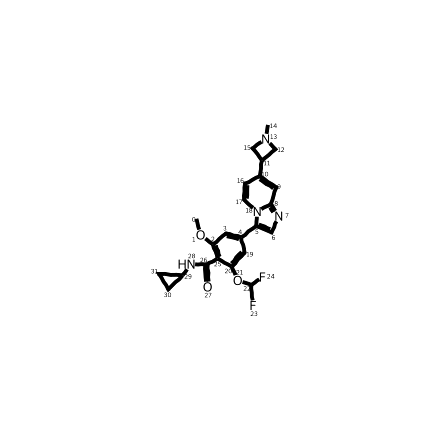 COc1cc(-c2cnc3cc(C4CN(C)C4)ccn23)cc(OC(F)F)c1C(=O)NC1CC1